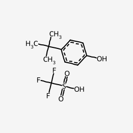 CC(C)(C)c1ccc(O)cc1.O=S(=O)(O)C(F)(F)F